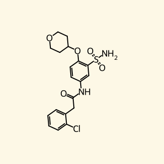 NS(=O)(=O)c1cc(NC(=O)Cc2ccccc2Cl)ccc1OC1CCOCC1